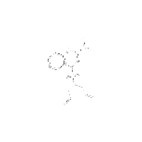 C=CCN(CC=C)S(=O)(=O)c1cc([N+](=O)[O-])nc2ccccc12